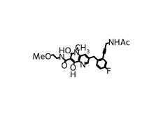 COCCNC(=O)c1c(O)c2ncc(Cc3ccc(F)cc3C#CCNC(C)=O)cc2n(C)c1=O